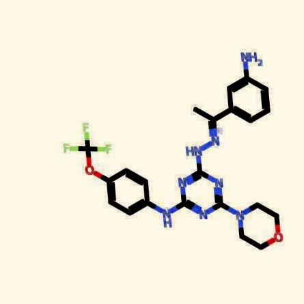 C/C(=N\Nc1nc(Nc2ccc(OC(F)(F)F)cc2)nc(N2CCOCC2)n1)c1cccc(N)c1